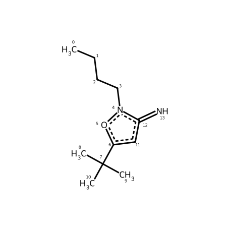 CCCCn1oc(C(C)(C)C)cc1=N